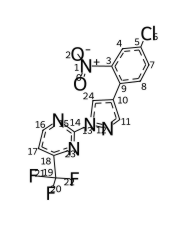 O=[N+]([O-])c1cc(Cl)ccc1-c1cnn(-c2nccc(C(F)(F)F)n2)c1